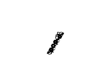 CCOc1ccc(CCc2ccc(C3CCC(c4ccc(OCC)c(F)c4F)CC3)c(F)c2F)c(F)c1F